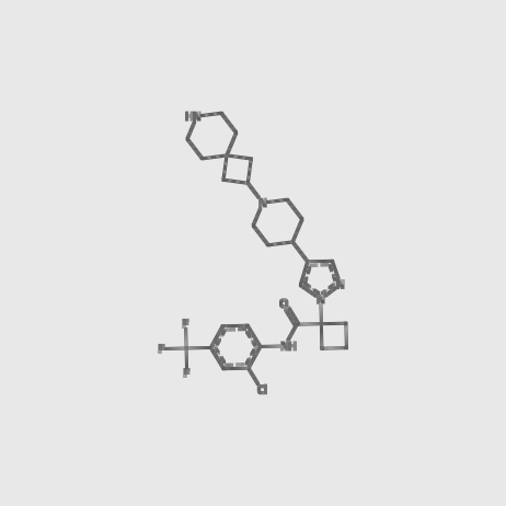 O=C(Nc1ccc(C(F)(F)F)cc1Cl)C1(n2cc(C3CCN(C4CC5(CCNCC5)C4)CC3)cn2)CCC1